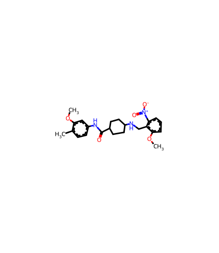 COc1cc(NC(=O)C2CCC(NCc3c(OC)cccc3[N+](=O)[O-])CC2)ccc1C